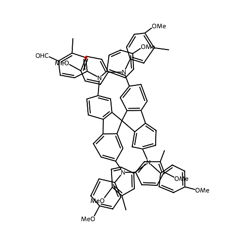 COc1ccc(N(c2ccc(C=O)c(C)c2)c2ccc3c(c2)C2(c4cc(N(c5ccc(OC)cc5)c5ccc(OC)c(C)c5)ccc4-3)c3cc(N(c4ccc(OC)cc4)c4ccc(OC)c(C)c4)ccc3-c3ccc(N(c4ccc(OC)cc4)c4ccc(OC)c(C)c4)cc32)cc1